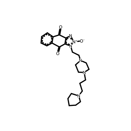 O=C1c2ccccc2C(=O)c2c1n[n+]([O-])n2CCN1CCN(CCCN2CCCCC2)CC1